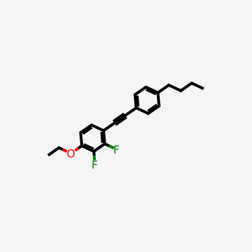 CCCCc1ccc(C#Cc2ccc(OCC)c(F)c2F)cc1